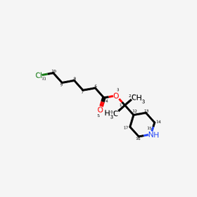 CC(C)(OC(=O)CCCCCCl)C1CCNCC1